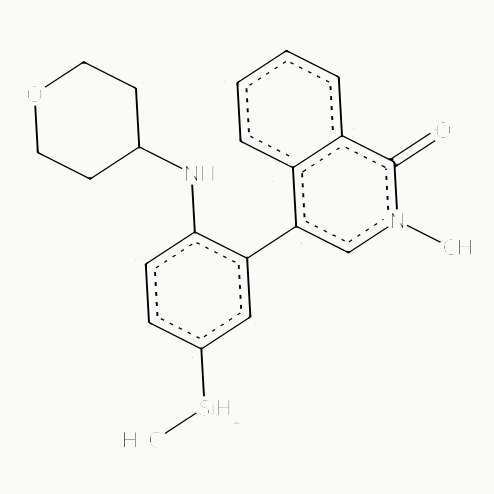 C[SiH2]c1ccc(NC2CCOCC2)c(-c2cn(C)c(=O)c3ccccc23)c1